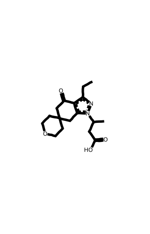 CCc1nn(C(C)CC(=O)O)c2c1C(=O)CC1(CCOCC1)C2